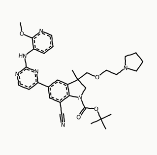 COc1ncccc1Nc1nccc(-c2cc(C#N)c3c(c2)C(C)(COCCN2CCCC2)CN3C(=O)OC(C)(C)C)n1